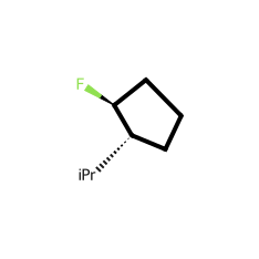 CC(C)[C@H]1CCC[C@@H]1F